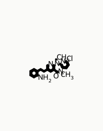 CCN1c2ncc(CCc3ccccc3N)cc2C(=O)N(C)c2ccc(Cl)nc21